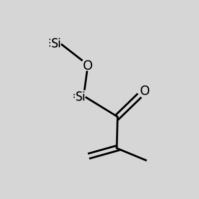 C=C(C)C(=O)[Si]O[Si]